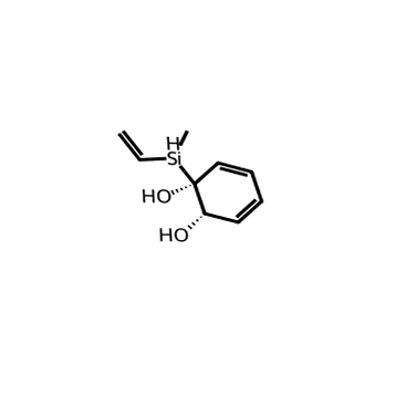 C=C[SiH](C)[C@@]1(O)C=CC=C[C@@H]1O